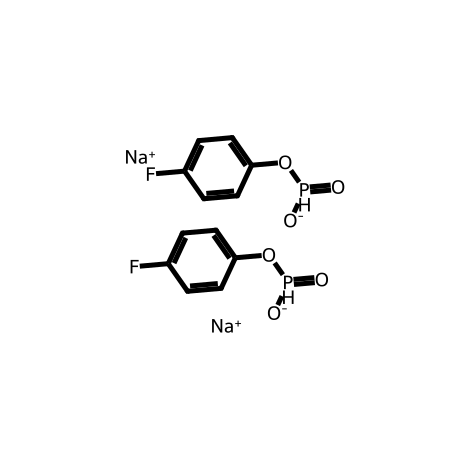 O=[PH]([O-])Oc1ccc(F)cc1.O=[PH]([O-])Oc1ccc(F)cc1.[Na+].[Na+]